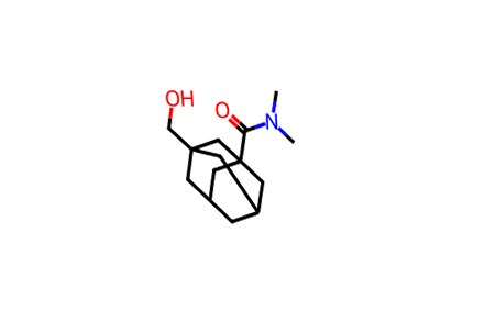 CN(C)C(=O)C12CC3CC(CC(CO)(C3)C1)C2